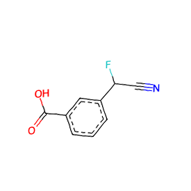 N#CC(F)c1cccc(C(=O)O)c1